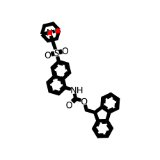 O=C(Nc1cccc2cc(S(=O)(=O)N3CC4CCC(CC4)C3)ccc12)OCC1c2ccccc2-c2ccccc21